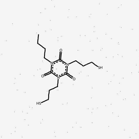 CCCCn1c(=O)n(CCCS)c(=O)n(CCCS)c1=O